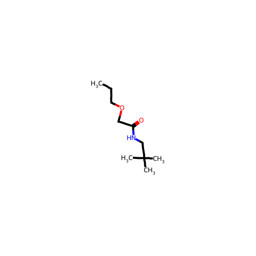 CCCOCC(=O)NCC(C)(C)C